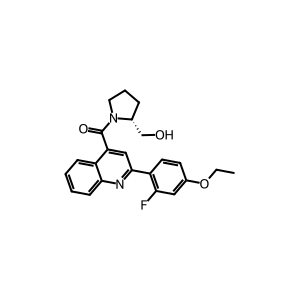 CCOc1ccc(-c2cc(C(=O)N3CCC[C@@H]3CO)c3ccccc3n2)c(F)c1